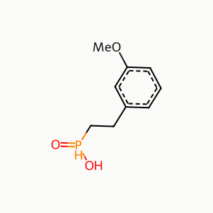 COc1cccc(CC[PH](=O)O)c1